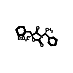 CCOC(=O)[C@@]1(Cc2ccccc2)OC(=O)N([C@H](C)c2ccccc2)C1=O